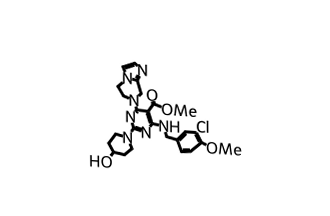 COC(=O)c1c(NCc2ccc(OC)c(Cl)c2)nc(N2CCC(O)CC2)nc1N1CCn2ccnc2C1